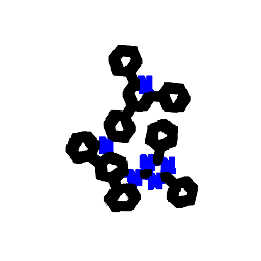 c1ccc(-c2cc(-c3ccc(-n4c5ccccc5c5cc6c7ccccc7n(-c7nc(-c8ccccc8)nc(-c8ccccc8)n7)c6cc54)cc3)cc(-c3ccccc3)n2)cc1